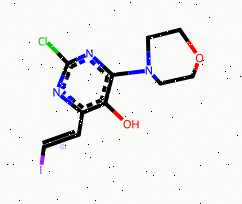 Oc1c(/C=C/I)nc(Cl)nc1N1CCOCC1